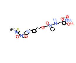 CC(C)c1nc(C(=O)N2CCOC3(CCN(Cc4cccc(CCCOCCC(=O)N(CCNCCc5ccc(O)c6c5OCC(=O)N6)C5CCCCC5)c4)CC3)C2)cs1